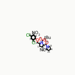 CC(C)(C)OC(=O)N1C(COc2cc([N+](=O)[O-])c(Cl)cc2Cl)CC[C@H]1C(=O)N1CCC[C@H]1C#N